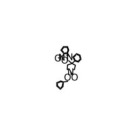 O=C(OCc1ccccc1)N1CCC2(CC1)CN(c1ccccc1[N+](=O)[O-])c1ccccc12